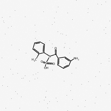 Cc1ccccc1N(C(=O)c1cccc(N)c1)S(=O)(=O)O